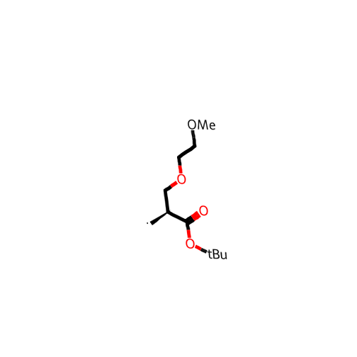 [CH2][C@@H](COCCOC)C(=O)OC(C)(C)C